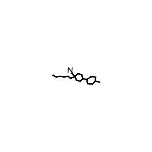 CCCCCCC1(C#N)CCC(C2CCC(C)CC2)CC1